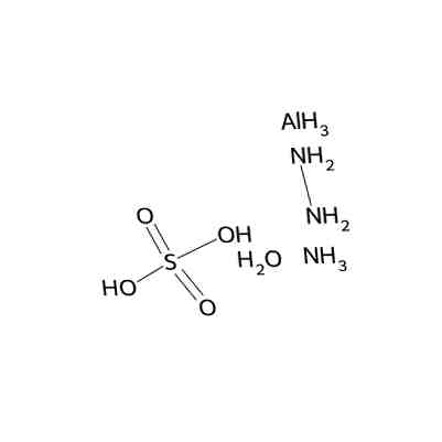 N.NN.O.O=S(=O)(O)O.[AlH3]